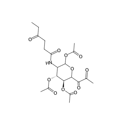 CCC(=O)CCC(=O)NC1C(OC(C)=O)OC(C(=O)C(C)=O)[C@@H](OC(C)=O)[C@@H]1OC(C)=O